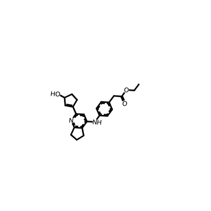 CCOC(=O)Cc1ccc(Nc2cc(C3=CC(O)CC3)nc3c2CCC3)cc1